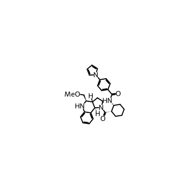 COC[C@@H]1Nc2ccccc2[C@H]2[C@H]1CCN2C(=O)[C@H]1CCCC[C@H]1NC(=O)c1ccc(-n2cccc2)cc1